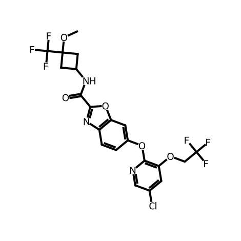 COC1(C(F)(F)F)CC(NC(=O)c2nc3ccc(Oc4ncc(Cl)cc4OCC(F)(F)F)cc3o2)C1